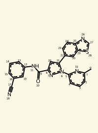 Cc1cccc(-n2nc(C(=O)Nc3cccc(C#N)c3)cc2-c2ccc3ncsc3c2)n1